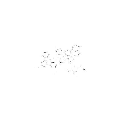 COc1ccc(C(OCCCC(c2ccc(Cl)cc2)(c2ccc(Cl)cc2)C(NC(=O)O)[C@H]2O[C@@H](n3cnc4c(=O)[nH]cnc43)C[C@H]2OP(OCCC#N)N(C(C)C)C(C)C)(c2ccccc2)c2ccc(OC)cc2)cc1